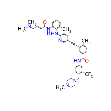 Cc1ccc(C(=O)Nc2ccc(CN3CCN(C)CC3)c(C(F)(F)F)c2)cc1C#Cc1ccc(Nc2c(C)cccc2NC(=O)C=CCN(C)C)nc1